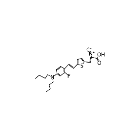 [C-]#[N+]/C(=C\c1ccc(/C=C/c2ccc(N(CCCC)CCCC)cc2F)s1)C(=O)O